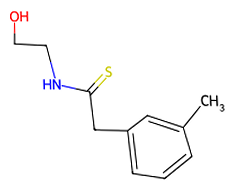 Cc1cccc(CC(=S)NCCO)c1